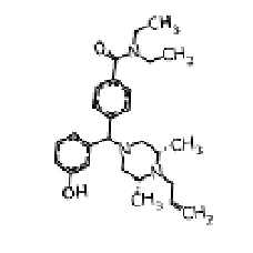 C=CCN1[C@H](C)CN(C(c2ccc(C(=O)N(CC)CC)cc2)c2cccc(O)c2)C[C@@H]1C